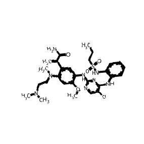 C=C(C(N)=O)c1cc(Nc2ncc(Cl)c(Nc3ccccc3NS(=O)(=O)CCC)n2)c(OC)cc1N(C)CCN(C)C